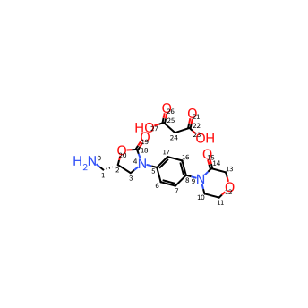 NC[C@H]1CN(c2ccc(N3CCOCC3=O)cc2)C(=O)O1.O=C(O)CC(=O)O